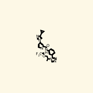 CC(COCC(F)(F)F)n1cnnc1-c1cccc(NC(=O)c2cc(-n3cnc(C4CC4)c3)ccn2)c1